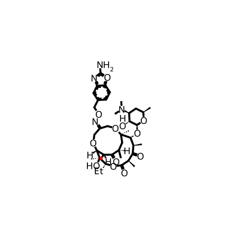 CC[C@H]1OC(=O)[C@H](C)C(=O)[C@H](C)[C@@H](O[C@@H]2O[C@H](C)C[C@H](N(C)C)[C@H]2O)[C@@]2(C)C[C@@H](C)C(=O)[C@H](C)[C@@H](OCC(=NOCc3ccc4oc(N)nc4c3)CO2)[C@]1(C)O